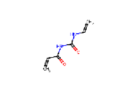 C=CNC(=O)NC(=O)C=C